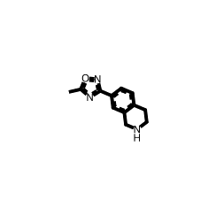 Cc1nc(-c2ccc3c(c2)CNCC3)no1